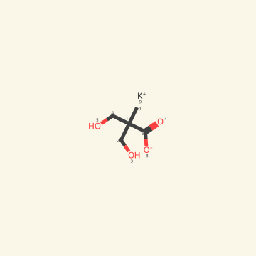 CC(CO)(CO)C(=O)[O-].[K+]